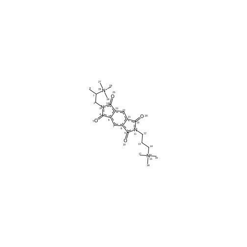 CC(Cn1c(=O)c2cc3c(=O)n(CCC[N+](C)(C)C)c(=O)c3cc2c1=O)[N+](C)(C)C